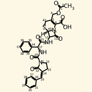 CC(=O)OCC1=C(C(=O)O)N2C(=O)C(NC(=O)C(NC(=O)N3CCC(=Cc4ccccc4)C3=O)c3ccccc3)[C@@H]2SC1